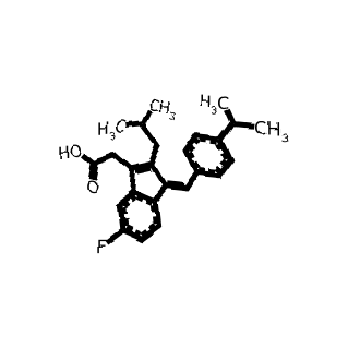 CC(C)CC1=C(CC(=O)O)c2cc(F)ccc2C1=Cc1ccc(C(C)C)cc1